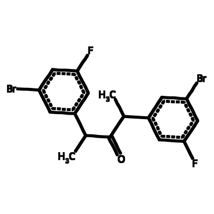 CC(C(=O)C(C)c1cc(F)cc(Br)c1)c1cc(F)cc(Br)c1